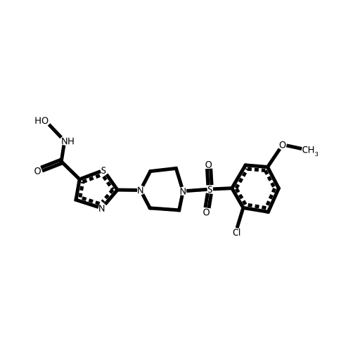 COc1ccc(Cl)c(S(=O)(=O)N2CCN(c3ncc(C(=O)NO)s3)CC2)c1